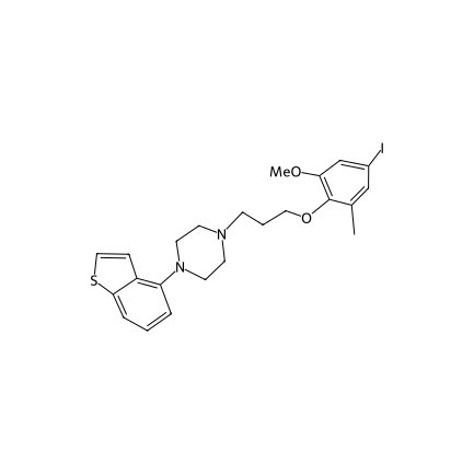 COc1cc(I)cc(C)c1OCCCN1CCN(c2cccc3sccc23)CC1